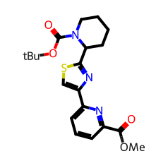 COC(=O)c1cccc(-c2csc(C3CCCCN3C(=O)OC(C)(C)C)n2)n1